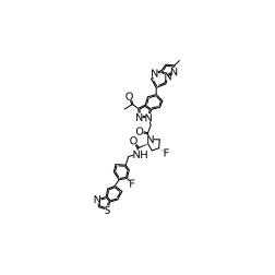 CC(=O)c1nn(CC(=O)N2C[C@H](F)C[C@H]2C(=O)NCc2ccc(-c3ccc4scnc4c3)c(F)c2)c2ccc(-c3cnc4cc(C)nn4c3)cc12